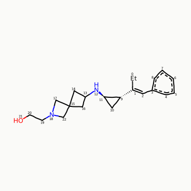 CC/C(=C\c1ccccc1)[C@@H]1C[C@H]1NC1CC2(C1)CN(CCO)C2